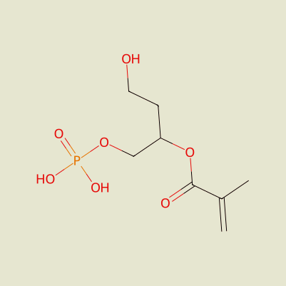 C=C(C)C(=O)OC(CCO)COP(=O)(O)O